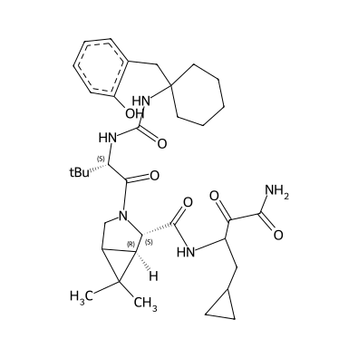 CC(C)(C)[C@H](NC(=O)NC1(Cc2ccccc2O)CCCCC1)C(=O)N1CC2[C@@H]([C@H]1C(=O)NC(CC1CC1)C(=O)C(N)=O)C2(C)C